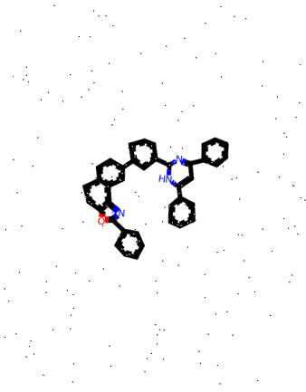 C1=C(c2ccccc2)NC(c2cccc(-c3ccc4ccc5oc(-c6ccccc6)nc5c4c3)c2)N=C1c1ccccc1